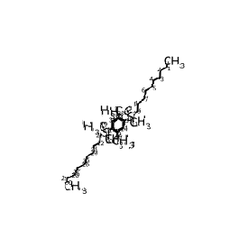 CCCCCCCCCC[Si](C)(C)c1cc(C)c([Si](C)(C)CCCCCCCCCC)cc1C